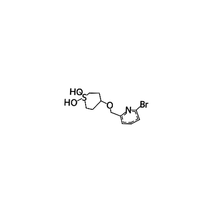 OS1(O)CCC(OCc2cccc(Br)n2)CC1